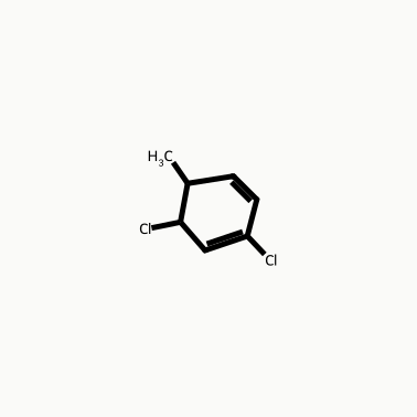 CC1C=CC(Cl)=CC1Cl